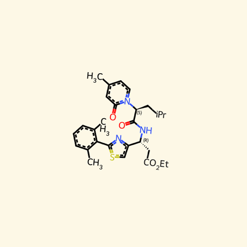 CCOC(=O)C[C@@H](NC(=O)[C@H](CC(C)C)n1ccc(C)cc1=O)c1csc(-c2c(C)cccc2C)n1